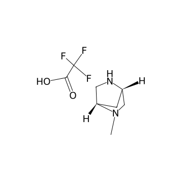 CN1C[C@@H]2C[C@H]1CN2.O=C(O)C(F)(F)F